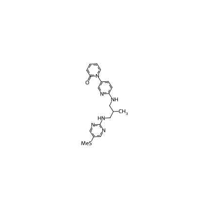 CSc1cnc(NCC(C)CNc2ccc(-n3ccccc3=O)cn2)nc1